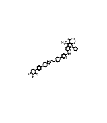 CC(=O)c1c(C)c2cnc(Nc3ccc(N4CCN(CCN5CC6(CCN(c7ccc(C8CCC(=O)NC8=O)cc7)CC6)C5)CC4)cn3)nc2n(C2CCCC2)c1=O